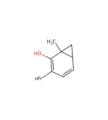 CCCC1=C(O)C2(C)CC2C=C1